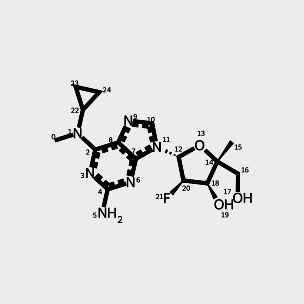 CN(c1nc(N)nc2c1ncn2[C@@H]1O[C@](C)(CO)[C@@H](O)[C@H]1F)C1CC1